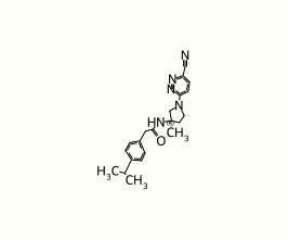 CC(C)c1ccc(CC(=O)N[C@]2(C)CCN(c3ccc(C#N)nn3)C2)cc1